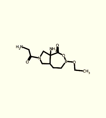 CCOB1CCC2CN(C(=O)CN)CC2(N)C(=O)O1